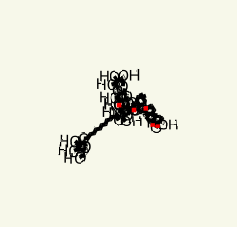 CC1O[C@@H](OC2C(O)[C@@H](NC(=O)CCCCCCCCCCO[C@@H]3O[C@@H](CO)C(O)C3O)C(CO)O[C@H]2OC(=O)[C@]23CCC(C)(C)CC2C2=CCC4C5(C)CC[C@H](O)[C@](C)(C=O)[C@@H]5CC[C@]4(C)[C@]2(C)CC3O)C(O)C(O)[C@H]1O[C@@H]1OC[C@@H](O)C(O)C1O